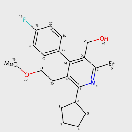 CCc1nc(C2CCCC2)c(CCOOC)c(-c2ccc(F)cc2)c1CO